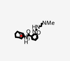 CNCCNc1nc2c(C(=O)NC3CC4CCCC(C3)N4C)cccc2o1